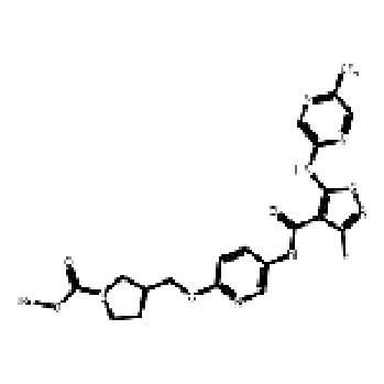 Cc1nsc(Nc2cnc(C(F)(F)F)cn2)c1C(=O)Nc1ccc(OCC2CCN(C(=O)OC(C)(C)C)C2)nc1